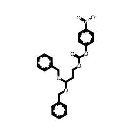 O=C(OCCC(OCc1ccccc1)OCc1ccccc1)Oc1ccc([N+](=O)[O-])cc1